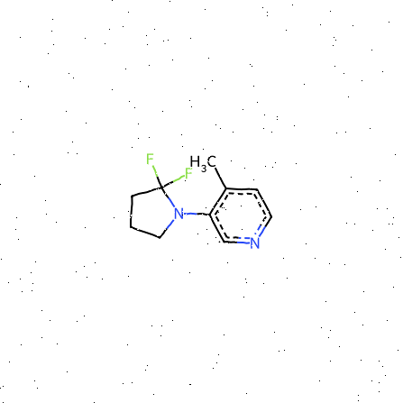 Cc1ccn[c]c1N1CCCC1(F)F